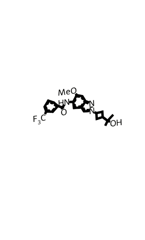 COc1cc2nn(C3CC(C(C)(C)O)C3)cc2cc1NC(=O)c1cccc(C(F)(F)F)c1